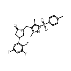 Cc1ccc(S(=O)(=O)n2nc(C)c(CN3CC(c4cc(F)cc(F)c4F)CC3=O)c2C)cc1